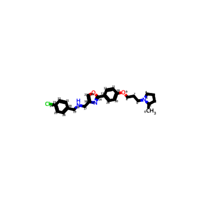 CC1CCCN1CCCOc1ccc(-c2nc(CNCc3ccc(Cl)cc3)co2)cc1